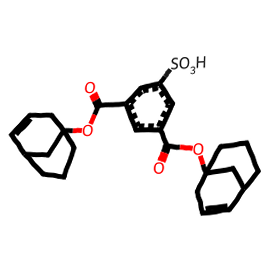 O=C(OC12CC=CC(CCC1)C2)c1cc(C(=O)OC23CC=CC(CCC2)C3)cc(S(=O)(=O)O)c1